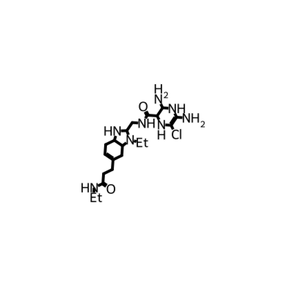 CCNC(=O)CCC1=CCC2NC(CNC(=O)C3NC(Cl)=C(N)NC3N)N(CC)C2C1